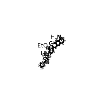 CCOC(=O)C(Cc1cc2ccnc(N)c2cc1Cl)N1CCC(NS(=O)(=O)c2cnc(N3CCCC3)s2)C1=O